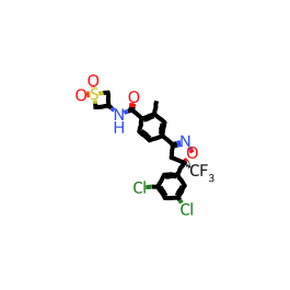 Cc1cc(C2=NO[C@](c3cc(Cl)cc(Cl)c3)(C(F)(F)F)C2)ccc1C(=O)NC1CS(=O)(=O)C1